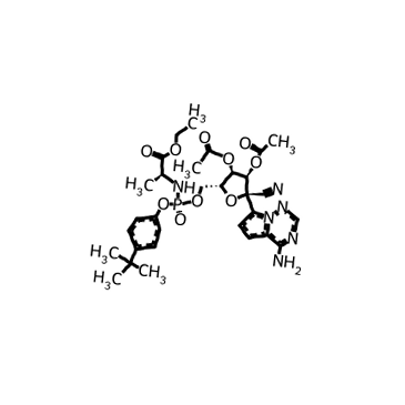 CCOC(=O)[C@H](C)NP(=O)(OC[C@H]1O[C@@](C#N)(c2ccc3c(N)ncnn23)[C@H](OC(C)=O)[C@@H]1OC(C)=O)Oc1ccc(C(C)(C)C)cc1